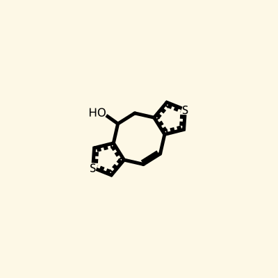 OC1Cc2cscc2/C=C\c2cscc21